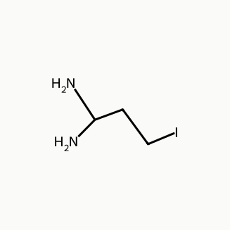 NC(N)CCI